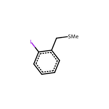 [CH2]SCc1ccccc1I